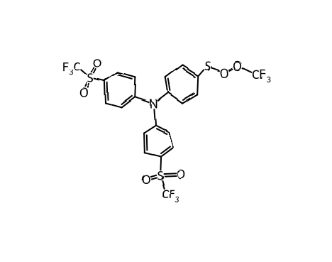 O=S(=O)(c1ccc(N(c2ccc(SOOC(F)(F)F)cc2)c2ccc(S(=O)(=O)C(F)(F)F)cc2)cc1)C(F)(F)F